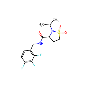 CC(C)N1C(C(=O)NCc2ccc(F)c(F)c2F)CCS1(=O)=O